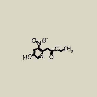 CCOC(=O)Cc1ncc(O)cc1[N+](=O)[O-]